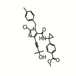 COC(=O)c1ccc(C2(NC(=O)c3c(C#CC(C)(C)O)nc(Cl)n3Cc3ccc(C)cc3)CC2)cc1